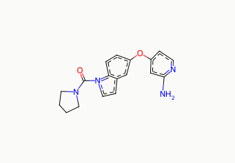 Nc1cc(Oc2ccc3c(ccn3C(=O)N3CCCC3)c2)ccn1